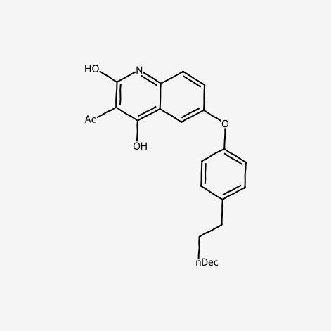 CCCCCCCCCCCCc1ccc(Oc2ccc3nc(O)c(C(C)=O)c(O)c3c2)cc1